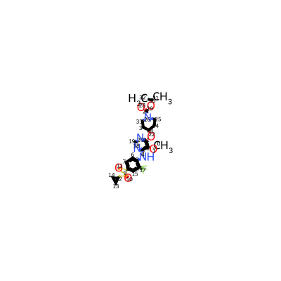 COc1c(Nc2ccc(S(=O)(=O)C3CC3)cc2F)ncnc1OC1CCN(C(=O)OC(C)C)CC1